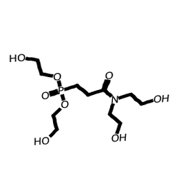 O=C(CCP(=O)(OCCO)OCCO)N(CCO)CCO